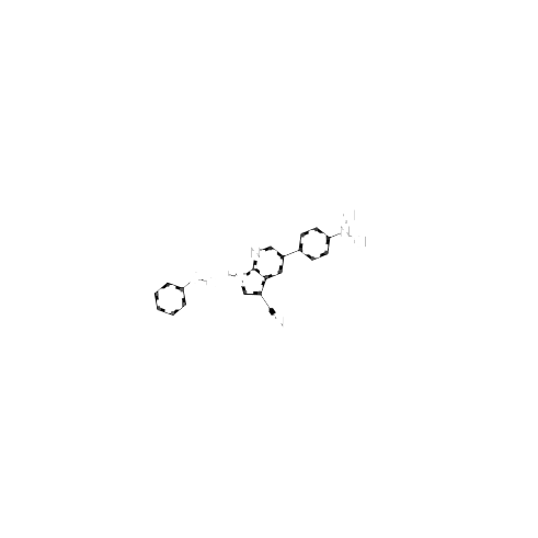 CN(C)c1ccc(-c2cnc3c(c2)c(C#N)cn3OOSc2ccccc2)cc1